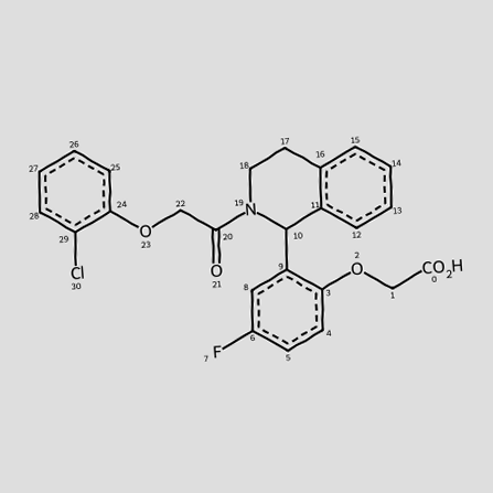 O=C(O)COc1ccc(F)cc1C1c2ccccc2CCN1C(=O)COc1ccccc1Cl